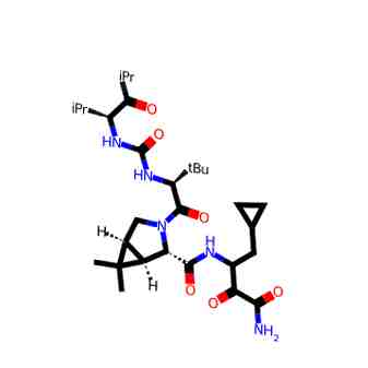 CC(C)C(=O)[C@@H](NC(=O)N[C@H](C(=O)N1C[C@H]2[C@@H]([C@H]1C(=O)NC(CC1CC1)C(=O)C(N)=O)C2(C)C)C(C)(C)C)C(C)C